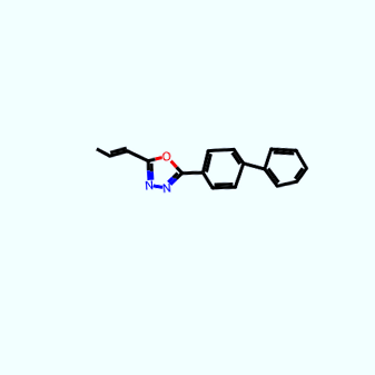 C/C=C/c1nnc(-c2ccc(-c3ccccc3)cc2)o1